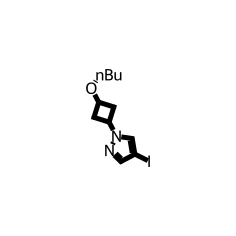 CCCCOC1CC(n2cc(I)cn2)C1